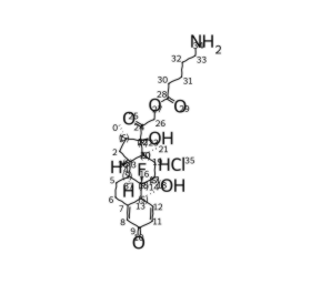 C[C@H]1C[C@H]2[C@@H]3CCC4=CC(=O)C=C[C@]4(C)[C@@]3(F)[C@@H](O)C[C@]2(C)[C@@]1(O)C(=O)COC(=O)CCCCN.Cl